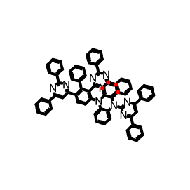 c1ccc(-c2cc(-c3ccc(N4c5ccccc5N(c5nc(-c6ccccc6)cc(-c6ccccc6)n5)c5ccccc54)c(-c4nc(-c5ccccc5)nc(-c5ccccc5)n4)c3-c3ccccc3)nc(-c3ccccc3)n2)cc1